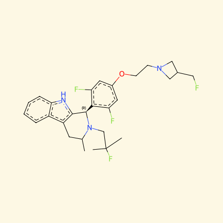 CC1Cc2c([nH]c3ccccc23)[C@@H](c2c(F)cc(OCCN3CC(CF)C3)cc2F)N1CC(C)(C)F